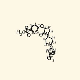 CS(=O)(=O)c1ccc(OC2CCN(C3CCN(c4noc(C(F)(F)F)n4)CC3)C2=O)cn1